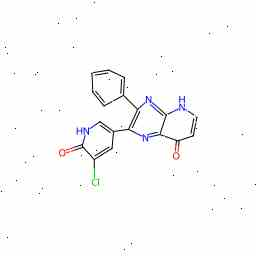 O=c1[nH]cc(-c2nc3c(=O)cc[nH]c3nc2-c2ccccc2)cc1Cl